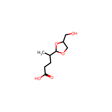 CC(CCC(=O)O)C1OCC(CO)O1